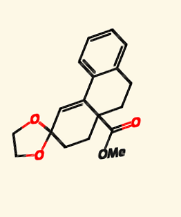 COC(=O)C12CCc3ccccc3C1=CC1(CC2)OCCO1